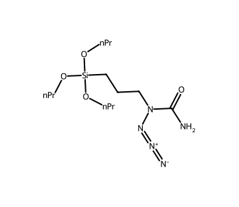 CCCO[Si](CCCN(N=[N+]=[N-])C(N)=O)(OCCC)OCCC